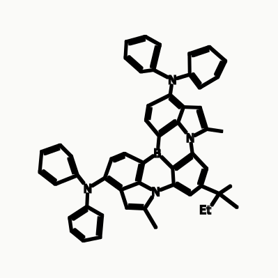 CCC(C)(C)c1cc2c3c(c1)-n1c(C)cc4c(N(c5ccccc5)c5ccccc5)ccc(c41)B3c1ccc(N(c3ccccc3)c3ccccc3)c3cc(C)n-2c13